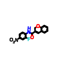 O=C(Nc1ccc([N+](=O)[O-])cc1F)C1=Cc2ccccc2OC1